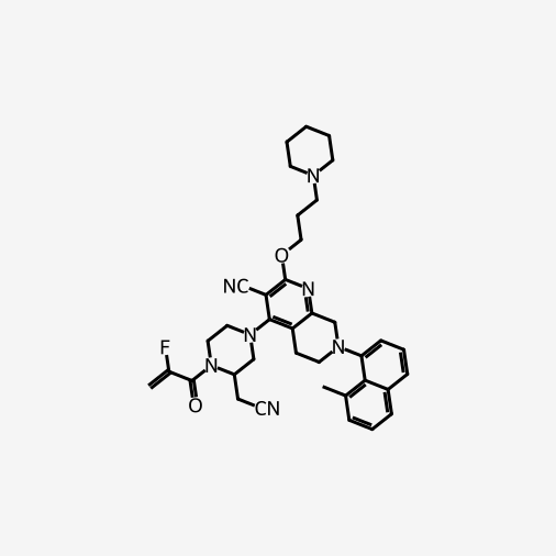 C=C(F)C(=O)N1CCN(c2c(C#N)c(OCCCN3CCCCC3)nc3c2CCN(c2cccc4cccc(C)c24)C3)CC1CC#N